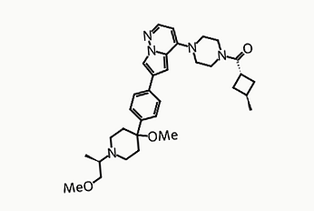 COC[C@@H](C)N1CCC(OC)(c2ccc(-c3cc4c(N5CCN(C(=O)[C@H]6C[C@H](C)C6)CC5)ccnn4c3)cc2)CC1